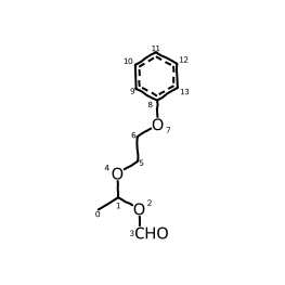 CC(OC=O)OCCOc1ccccc1